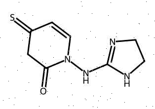 O=C1CC(=S)C=CN1NC1=NCCN1